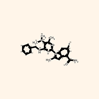 Cc1nc(-n2c(C)cc3c(C(N)=O)cc(F)cc32)nc(NCc2ccccc2)c1N(C)C